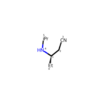 CC[C@H](CC#N)NC(C)C